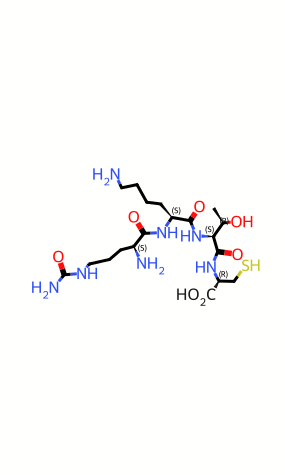 C[C@@H](O)[C@H](NC(=O)[C@H](CCCCN)NC(=O)[C@@H](N)CCCNC(N)=O)C(=O)N[C@@H](CS)C(=O)O